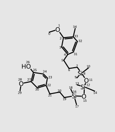 COc1cc(CCC[Si](C)(C)O[Si](C)(C)O[Si](C)(C)CCCc2ccc(O)c(OC)c2)ccc1C